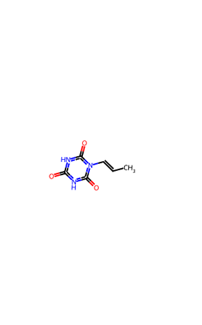 CC=Cn1c(=O)[nH]c(=O)[nH]c1=O